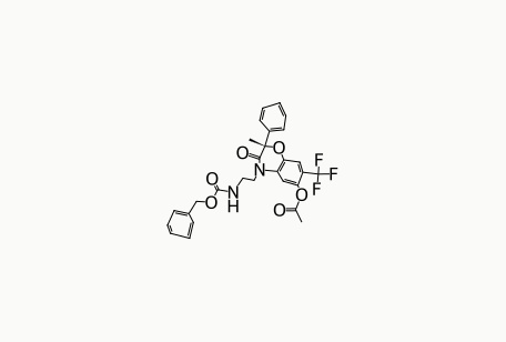 CC(=O)Oc1cc2c(cc1C(F)(F)F)O[C@@](C)(c1ccccc1)C(=O)N2CCNC(=O)OCc1ccccc1